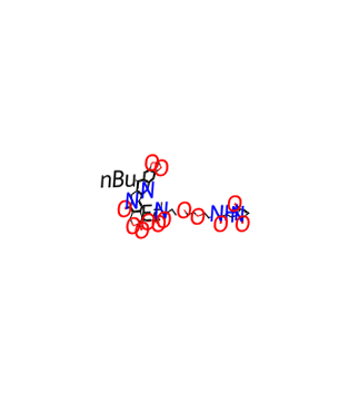 CCCCc1c2c(nc3cc4c(cc13)OCO4)-c1cc3c(c(=O)n1C2)COC(=O)[C@@]3(CC)OC(=O)CN(C)C(=O)CCOCCOCCNC(=O)CCN1C(=O)C=CC1=O